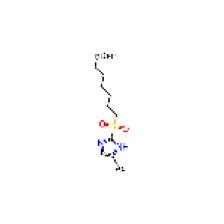 CCCCCCCCCCCCCCCCS(=O)(=O)c1ncc(C(C)=O)[nH]1